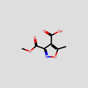 COC(=O)c1noc(C)c1C(=O)O